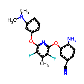 Cc1c(F)c(Oc2cccc(N(C)C)c2)nc(Oc2cc(C#N)ccc2N)c1F